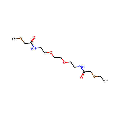 CCSCC(=O)NCCOCCOCCNC(=O)CSCC(C)C